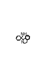 NCC1(C2=NCCc3ccccc32)C=CC=CC1